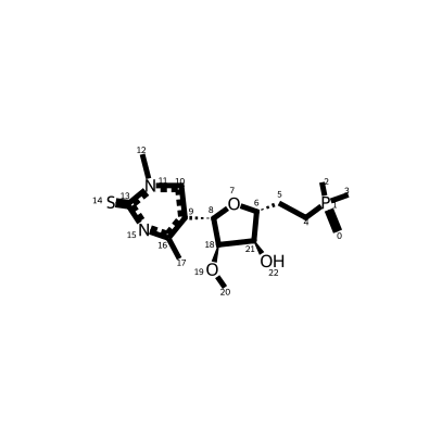 C=P(C)(C)CC[C@H]1O[C@@H](c2cn(C)c(=S)nc2C)[C@H](OC)[C@@H]1O